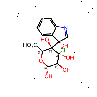 O=C(O)[C@H]1O[C@@H](O)[C@H](O)[C@](O)(Cl)[C@@]1(O)C1(O)C=Nc2ccccc21